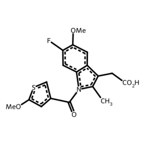 COc1cc(C(=O)n2c(C)c(CC(=O)O)c3cc(OC)c(F)cc32)cs1